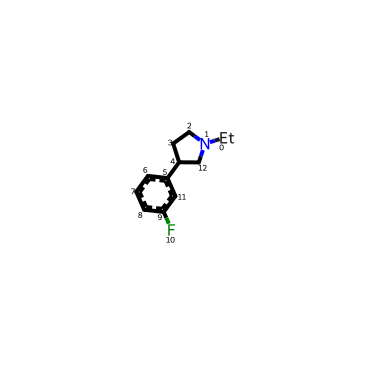 CCN1CCC(c2cccc(F)c2)C1